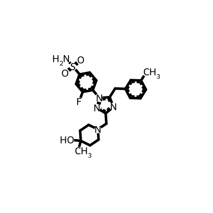 Cc1cccc(Cc2nc(CN3CCC(C)(O)CC3)nn2-c2ccc(S(N)(=O)=O)cc2F)c1